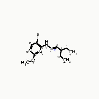 CCC(/C=N/Nc1nc(OC)ncc1F)CC